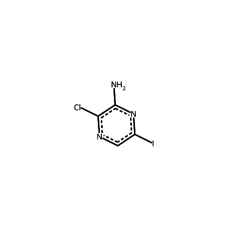 Nc1nc(I)cnc1Cl